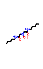 CCCCCNC(=O)CN(O)CC(=O)NCCCCC